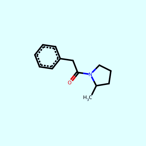 CC1CCCN1C(=O)Cc1ccccc1